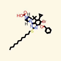 CCCCCCCCCCCCSc1nc(N2C[C@@H]3C[C@H]2CN3C(=O)O)c2c(C(C)(C)C)c(C3CC3)c(Br)c(OCc3ccccc3)c2n1